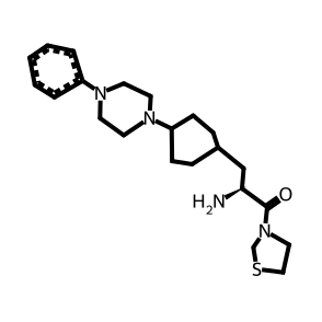 N[C@@H](CC1CCC(N2CCN(c3ccccc3)CC2)CC1)C(=O)N1CCSC1